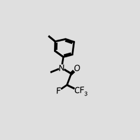 Cc1cccc(N(C)C(=O)C(F)C(F)(F)F)c1